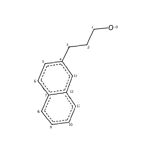 [O]CCCc1ccc2ccccc2c1